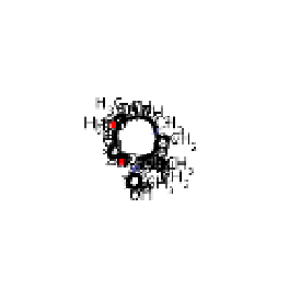 C=CC[C@@H]1/C=C(\C)C[C@H](C)C[C@H](OC)C2O[C@@](O)(C(=O)C(=O)N3CCCC[C@H]3C(=O)O[C@H](/C(C)=C/[C@@H]3CC[C@@H](O)[C@H](OC)C3)[C@H](C)[C@@H](OC(=O)C(C)CC)CC1=O)[C@H](C)C[C@@H]2OC